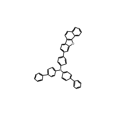 c1ccc(-c2ccc(N(c3ccc(-c4ccccc4)cc3)c3ccc(-c4ccc5c(c4)oc4c6ccccc6ccc54)cc3)cc2)cc1